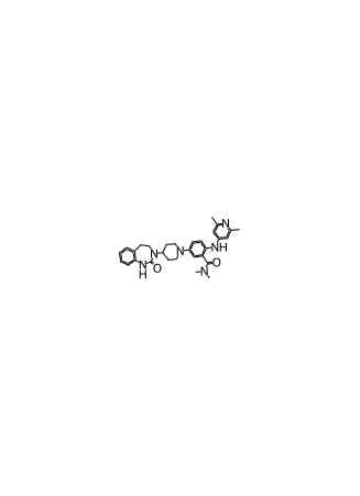 Cc1cc(Nc2ccc(N3CCC(N4CCc5ccccc5NC4=O)CC3)cc2C(=O)N(C)C)cc(C)n1